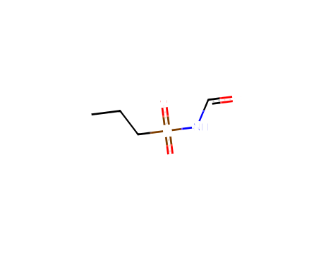 CCCS(=O)(=O)NC=O